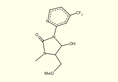 COCC1C(O)N(c2cc(C(F)(F)F)ccn2)C(=O)N1C